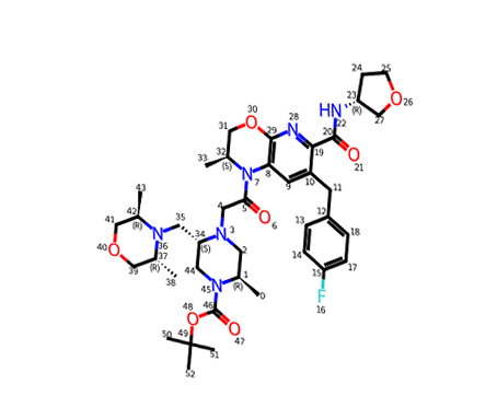 C[C@@H]1CN(CC(=O)N2c3cc(Cc4ccc(F)cc4)c(C(=O)N[C@@H]4CCOC4)nc3OC[C@@H]2C)[C@@H](CN2[C@H](C)COC[C@H]2C)CN1C(=O)OC(C)(C)C